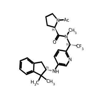 CC(=O)N1CCC[C@@H]1C(=O)N(C)[C@@H](c1ccc(N[C@H]2Cc3ccccc3C2(C)C)cn1)C(F)(F)F